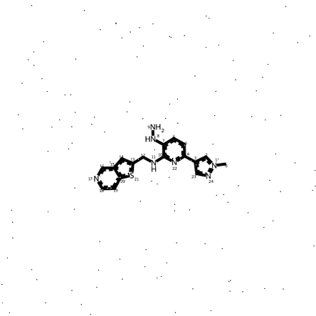 Cn1cc(-c2ccc(NN)c(NCc3cc4cnccc4s3)n2)cn1